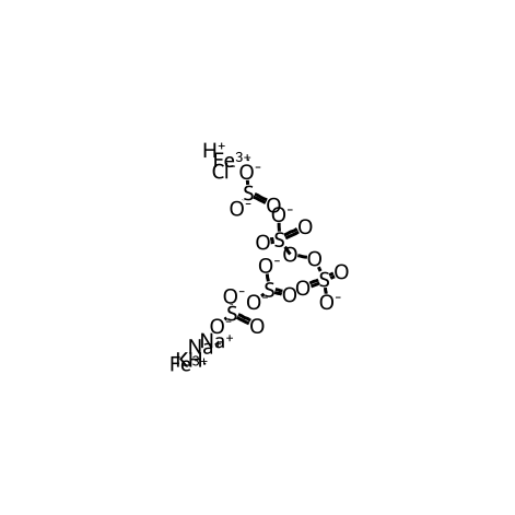 O=S(=O)([O-])OOS(=O)(=O)[O-].O=S([O-])[O-].O=S([O-])[O-].O=S([O-])[O-].[Cl-].[Fe+3].[Fe+3].[H+].[KH].[Na+].[Na+]